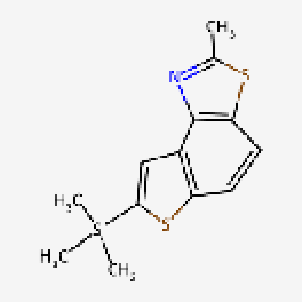 Cc1nc2c(ccc3sc([Si](C)(C)C)cc32)s1